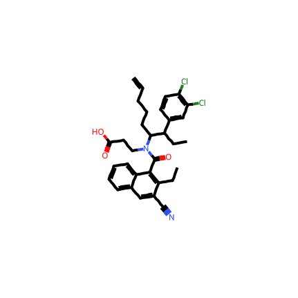 C=CCCCC(C(CC)c1ccc(Cl)c(Cl)c1)N(CCC(=O)O)C(=O)c1c(CC)c(C#N)cc2ccccc12